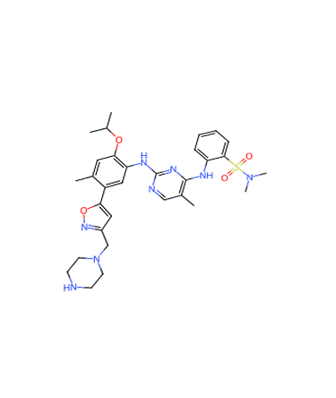 Cc1cc(OC(C)C)c(Nc2ncc(C)c(Nc3ccccc3S(=O)(=O)N(C)C)n2)cc1-c1cc(CN2CCNCC2)no1